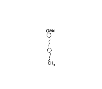 C/C=C/CC[C@H]1CC[C@H](CCCC[C@H]2CC[C@H](OC)CC2)CC1